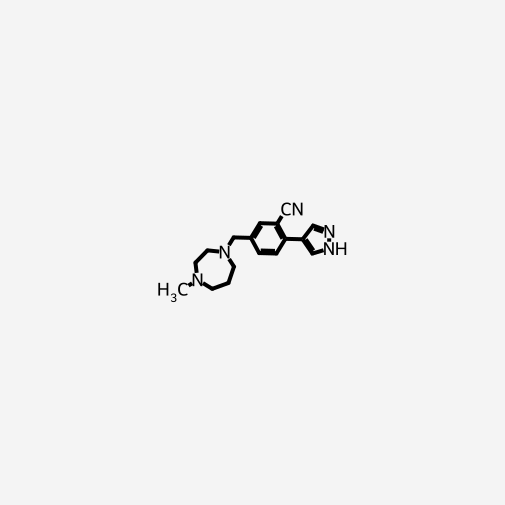 CN1CCCN(Cc2ccc(-c3cn[nH]c3)c(C#N)c2)CC1